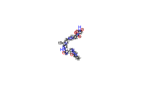 Cc1c(-c2cc(Nc3ccc(N4CC[C@]5(C[C@@H]4C(C)(C)C)C[C@H]5N4CCN(c5ccc6c(c5)C(=O)N(C5CCC(=O)NC5=O)C6=O)[C@@H](C)C4)cn3)c(=O)n(C)c2)ccnc1N1CCn2c(cc3c2CC(C)(C)C3)C1=O